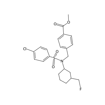 COC(=O)c1ccc(CN(C2CCCC(CF)C2)S(=O)(=O)c2ccc(Cl)cc2)cc1